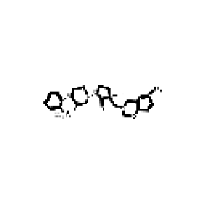 CC(C)[C@]1(CN2COc3ccc(C(F)(F)F)cc3C2)CC[C@@H](N2CC[C@@H](c3ccccc3C(=O)O)[C@H](C)C2)C1=O